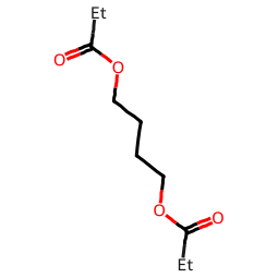 CCC(=O)OCCCCOC(=O)CC